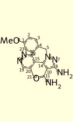 COc1ccc(Cn2nc(N)c(C(N)=O)c2-c2cnncc2C)cc1